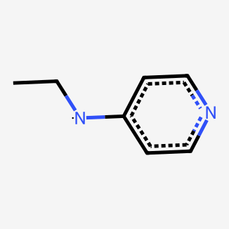 CC[N]c1ccncc1